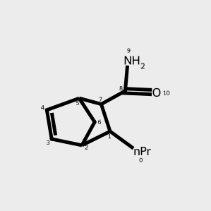 CCCC1C2C=CC(C2)C1C(N)=O